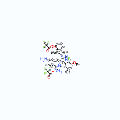 CCOc1cc(CC)cc(C(c2cc3cc(N)ccc3c(N)n2)c2nc(-c3ccccc3OC)c[nH]2)c1F.O=C(O)C(F)(F)F.O=C(O)C(F)(F)F